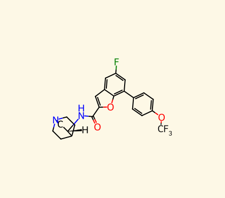 O=C(N[C@H]1CN2CCC1CC2)c1cc2cc(F)cc(-c3ccc(OC(F)(F)F)cc3)c2o1